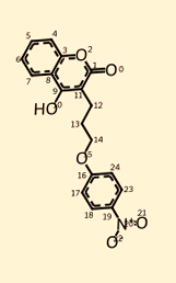 O=c1oc2ccccc2c(O)c1CCCOc1ccc([N+](=O)[O-])cc1